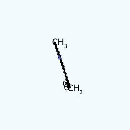 CCCCCCCC/C=C/CCCCCCCCCCCCCC(=O)CC(C)=O